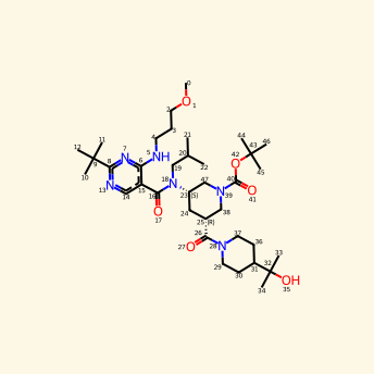 COCCCNc1nc(C(C)(C)C)ncc1C(=O)N(CC(C)C)[C@H]1C[C@@H](C(=O)N2CCC(C(C)(C)O)CC2)CN(C(=O)OC(C)(C)C)C1